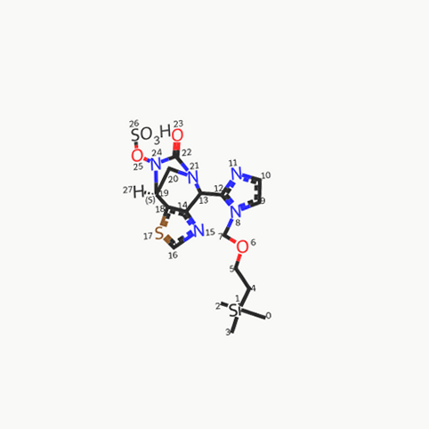 C[Si](C)(C)CCOCn1ccnc1C1c2ncsc2[C@@H]2CN1C(=O)N2OS(=O)(=O)O